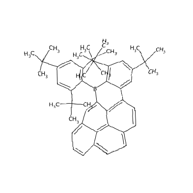 CC(C)(C)c1cc2c(c(C(C)(C)C)c1)B(c1c(C(C)(C)C)cc(C(C)(C)C)cc1C(C)(C)C)c1cc3cccc4ccc5ccc-2c1c5c43